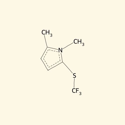 Cc1ccc(SC(F)(F)F)n1C